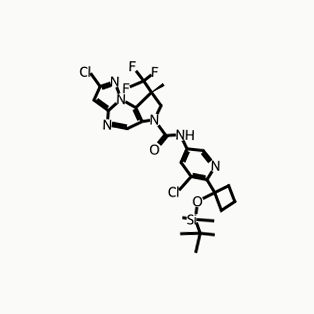 CC(C)(C)[Si](C)(C)OC1(c2ncc(NC(=O)N3C[C@@](C)(C(F)(F)F)c4c3cnc3cc(Cl)nn43)cc2Cl)CCC1